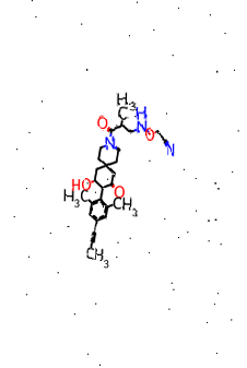 CC#Cc1cc(C)c(C2C(=O)CC3(CCN(C(=O)C(C)CNOCC#N)CC3)CC2O)c(C)c1